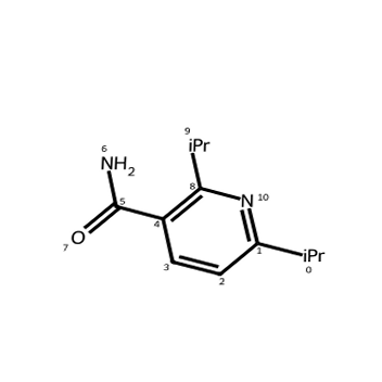 CC(C)c1ccc(C(N)=O)c(C(C)C)n1